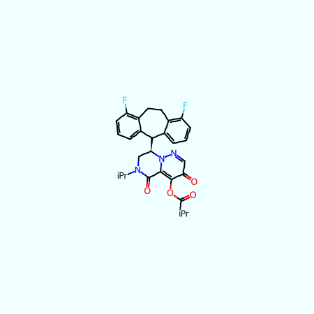 CC(C)C(=O)Oc1c2n(ncc1=O)[C@H](C1c3cccc(F)c3CCc3c(F)cccc31)CN(C(C)C)C2=O